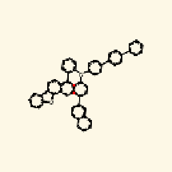 c1ccc(-c2ccc(-c3ccc(N(c4ccc(-c5ccc6ccccc6c5)cc4)c4ccccc4-c4cccc5c4ccc4c6ccccc6oc54)cc3)cc2)cc1